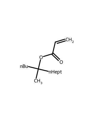 C=CC(=O)OC(C)(CCCC)CCCCCCC